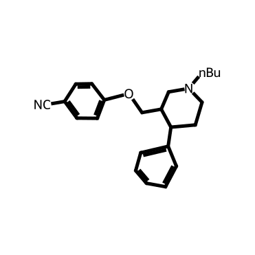 CCCCN1CCC(c2ccccc2)C(COc2ccc(C#N)cc2)C1